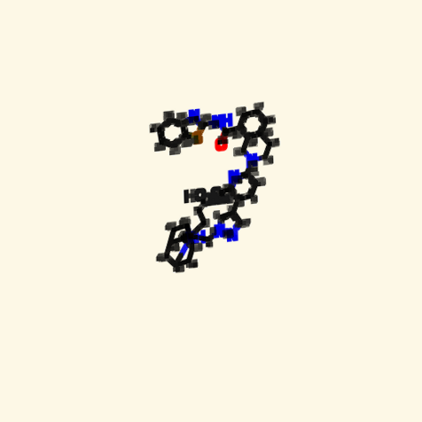 COCCC1(Cn2cc(-c3ccc(N4CCc5cccc(C(=O)Nc6nc7ccccc7s6)c5C4)nc3C(=O)O)cn2)C2CC3CC(C2)NC1C3